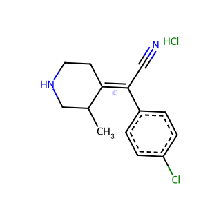 CC1CNCC/C1=C(\C#N)c1ccc(Cl)cc1.Cl